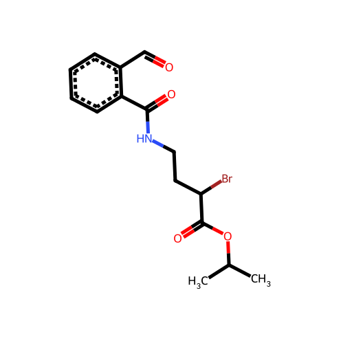 CC(C)OC(=O)C(Br)CCNC(=O)c1ccccc1C=O